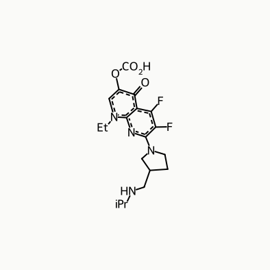 CCn1cc(OC(=O)O)c(=O)c2c(F)c(F)c(N3CCC(CNC(C)C)C3)nc21